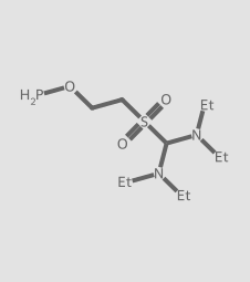 CCN(CC)C(N(CC)CC)S(=O)(=O)CCOP